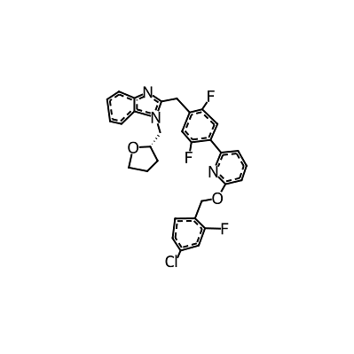 Fc1cc(Cl)ccc1COc1cccc(-c2cc(F)c(Cc3nc4ccccc4n3C[C@@H]3CCCO3)cc2F)n1